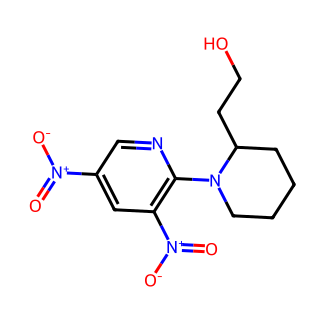 O=[N+]([O-])c1cnc(N2CCCCC2CCO)c([N+](=O)[O-])c1